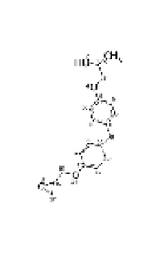 CC(O)COc1ccc(CC2C=CC(OCC3CO3)=CC2)cc1